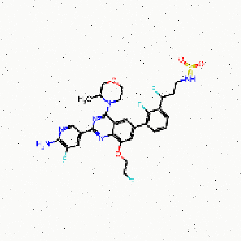 CC1COCCN1c1nc(-c2cnc(N)c(F)c2)nc2c(OCCF)cc(-c3cccc(C(F)CCN[SH](=O)=O)c3F)cc12